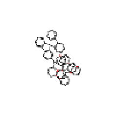 c1ccc(C2(c3ccccc3)c3ccccc3-c3cccc(N(c4ccc5c(c4)C4(c6ccccc6-c6ccccc64)c4ccccc4-5)c4cccc5c6ccccc6c6ccccc6c45)c32)cc1